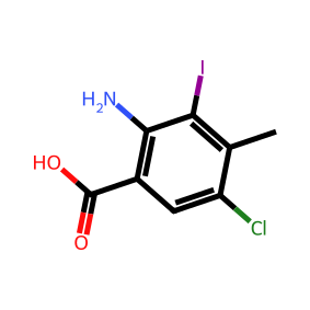 Cc1c(Cl)cc(C(=O)O)c(N)c1I